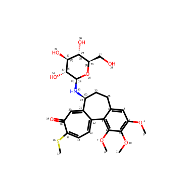 COc1cc2c(c(OC)c1OC)-c1ccc(SC)c(=O)cc1[C@@H](N[C@@H]1O[C@H](CO)[C@@H](O)[C@H](O)[C@H]1O)CC2